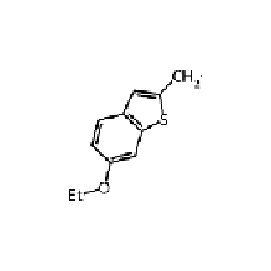 [CH2]c1cc2ccc(OCC)cc2s1